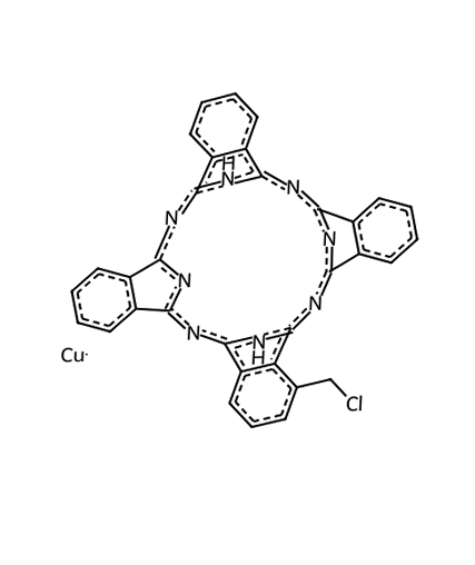 ClCc1cccc2c3nc4nc(nc5[nH]c(nc6nc(nc([nH]3)c12)-c1ccccc1-6)c1ccccc51)-c1ccccc1-4.[Cu]